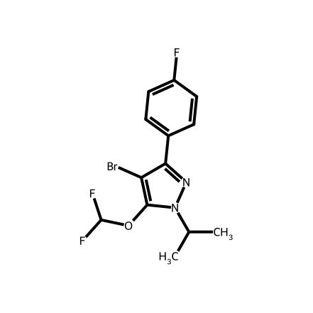 CC(C)n1nc(-c2ccc(F)cc2)c(Br)c1OC(F)F